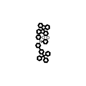 c1ccc(N(c2cccc(-c3ccc(C(c4ccccc4)(c4ccccc4)c4ccccc4)cc3)c2)c2cccc3c2Oc2c(ccc4c2-c2ccccc2C42c4ccccc4-c4ccccc42)O3)cc1